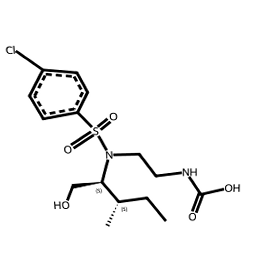 CC[C@H](C)[C@@H](CO)N(CCNC(=O)O)S(=O)(=O)c1ccc(Cl)cc1